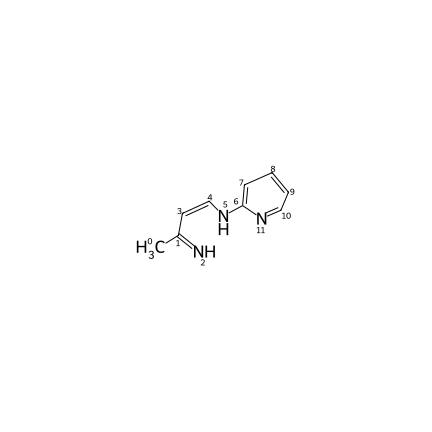 CC(=N)/C=C\Nc1ccccn1